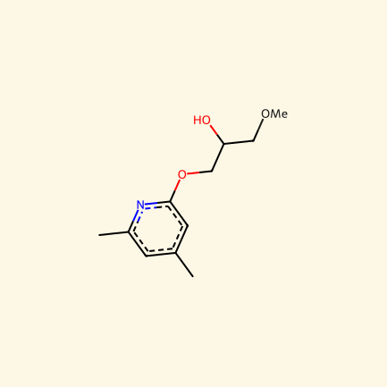 COCC(O)COc1cc(C)cc(C)n1